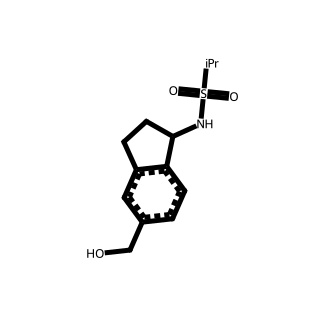 CC(C)S(=O)(=O)NC1CCc2cc(CO)ccc21